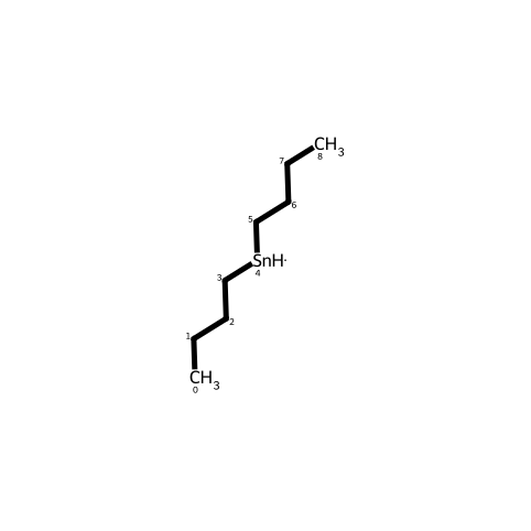 CCC[CH2][SnH][CH2]CCC